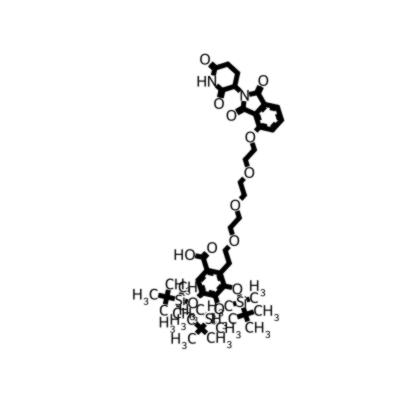 CC(C)(C)[Si](C)(C)Oc1cc(C(=O)O)c(CCOCCOCCOCCOc2cccc3c2C(=O)N(C2CCC(=O)NC2=O)C3=O)c(O[Si](C)(C)C(C)(C)C)c1O[Si](C)(C)C(C)(C)C